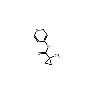 CC1(C(=O)OC2=CCOC=C2)CC1